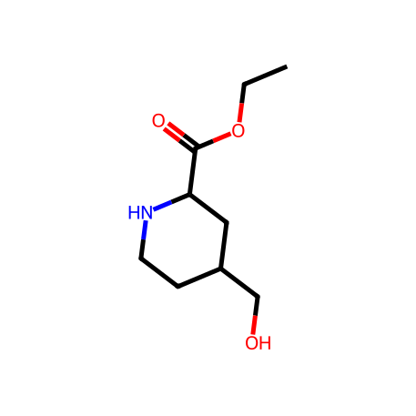 CCOC(=O)C1CC(CO)CCN1